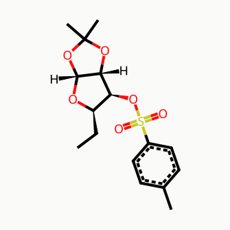 CC[C@H]1O[C@@H]2OC(C)(C)O[C@@H]2[C@H]1OS(=O)(=O)c1ccc(C)cc1